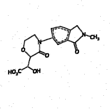 CN1Cc2ccc(N3CCOC(C(O)C(=O)O)C3=O)cc2C1=O